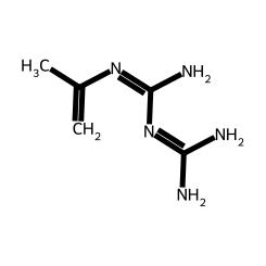 C=C(C)/N=C(/N)N=C(N)N